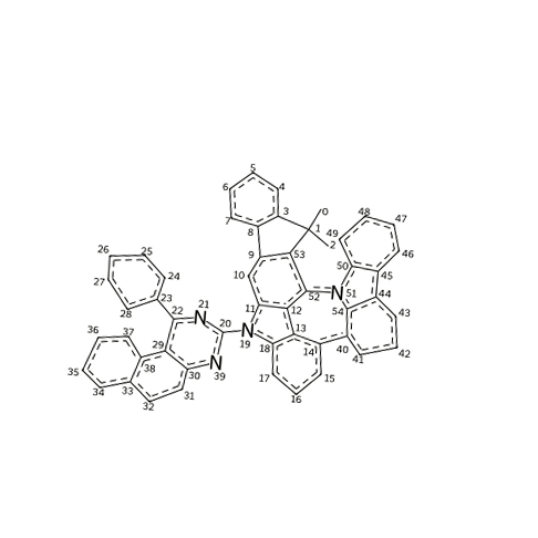 CC1(C)c2ccccc2-c2cc3c4c5c(cccc5n3-c3nc(-c5ccccc5)c5c(ccc6ccccc65)n3)c3cccc5c6ccccc6n(c4c21)c35